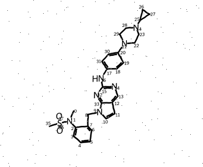 CN(c1ccccc1Cn1ccc2cnc(Nc3ccc(N4CCN(C5CC5)CC4)cc3)nc21)S(C)(=O)=O